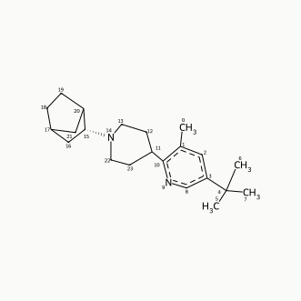 Cc1cc(C(C)(C)C)cnc1C1CCN([C@@H]2CC3CCC2C3)CC1